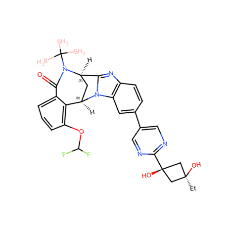 BC(B)(B)N1C(=O)c2cccc(OC(F)F)c2[C@H]2C[C@@H]1c1nc3ccc(-c4cnc([C@]5(O)C[C@](O)(CC)C5)nc4)cc3n12